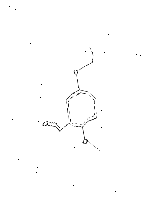 [CH2]COc1ccc(OC)c(C=O)c1